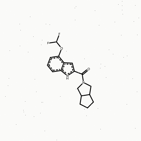 O=C(c1cc2c(OC(F)F)cccc2[nH]1)N1CC2CCCC2C1